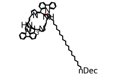 CCCCCCCCCCCCCCCCCCCCCCCCCCCCCCCCn1c2ccccc2c2cccc(-c3c4nc(cc5ccc([nH]5)c(-c5cccc6c7ccccc7n(C)c56)c5nc(cc6ccc3[nH]6)C=C5)C=C4)c21